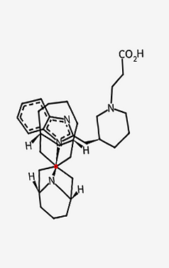 O=C(O)CCN1CCC[C@@H](Cc2nc3ccccc3n2[C@@H]2C[C@H]3CCC[C@@H](C2)N3[C@H]2C[C@@H]3CCCC[C@@H](C3)C2)C1